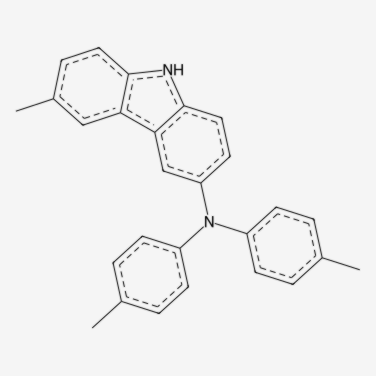 Cc1ccc(N(c2ccc(C)cc2)c2ccc3[nH]c4ccc(C)cc4c3c2)cc1